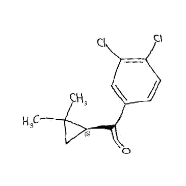 CC1(C)C[C@@H]1C(=O)c1ccc(Cl)c(Cl)c1